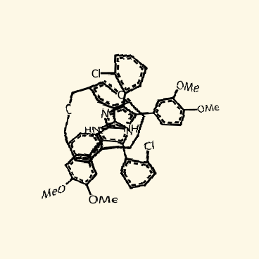 COc1ccc(-c2[nH]c(-c3cc4ccc3CCCc3ccc(cc3-c3nc(-c5ccccc5Cl)c(-c5ccc(OC)c(OC)c5)[nH]3)CCC4)nc2-c2ccccc2Cl)cc1OC